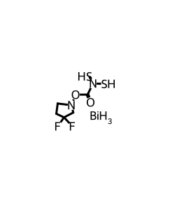 O=C(ON1CCC(F)(F)C1)N(S)S.[BiH3]